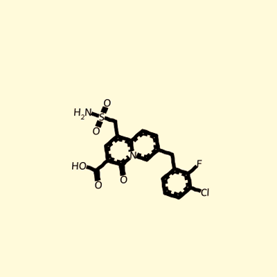 NS(=O)(=O)Cc1cc(C(=O)O)c(=O)n2cc(Cc3cccc(Cl)c3F)ccc12